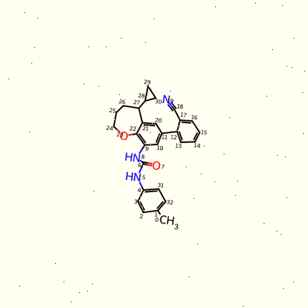 Cc1ccc(NC(=O)Nc2cc(-c3ccccc3C#N)cc3c2OCCCC3C2CC2)cc1